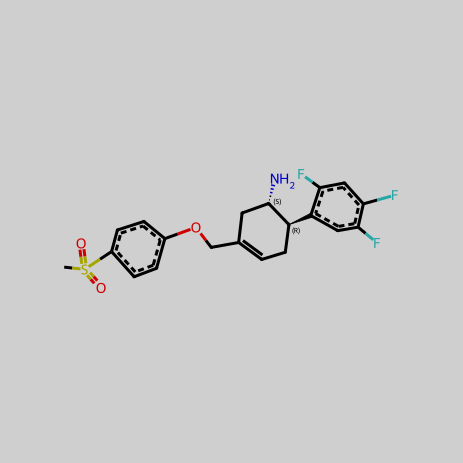 CS(=O)(=O)c1ccc(OCC2=CC[C@H](c3cc(F)c(F)cc3F)[C@@H](N)C2)cc1